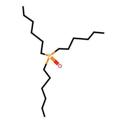 CCCCCCP(=O)(CCCCCC)CCCCCC